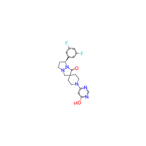 O=C1N2[C@H](c3cc(F)cc(F)c3)CCN2CC12CCN(c1cc(O)ncn1)CC2